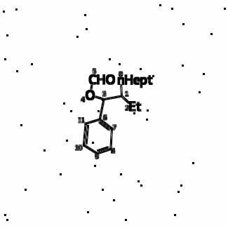 CCCCCCCC(CC)C(OC=O)c1ccccc1